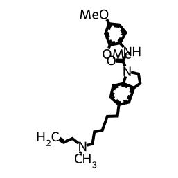 C=CCN(C)CCCCCc1ccc2c(c1)CCN2C(=O)Nc1ccc(OC)cc1OC